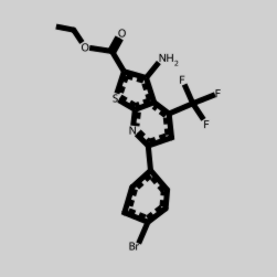 CCOC(=O)c1sc2nc(-c3ccc(Br)cc3)cc(C(F)(F)F)c2c1N